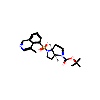 Cc1cncc2cccc(S(=O)(=O)N3CC[C@H]4[C@@H]3CCN4C(=O)OC(C)(C)C)c12